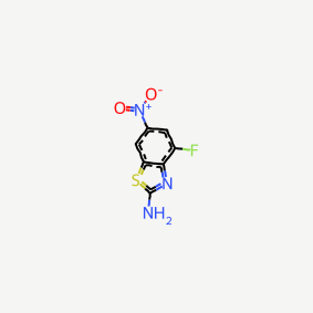 Nc1nc2c(F)cc([N+](=O)[O-])cc2s1